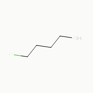 [AlH2][CH2]CCCCl